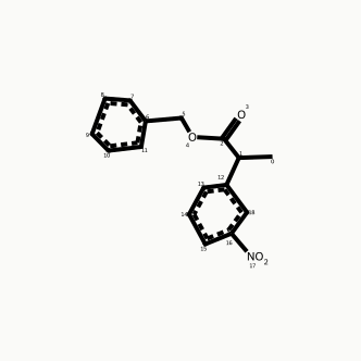 CC(C(=O)OCc1ccccc1)c1cccc([N+](=O)[O-])c1